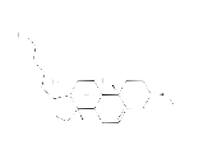 CC(C)CCC[C@@H](C)[C@H]1CC[C@H]2[C@@H]3CC=C4C[C@H](OS(=O)(=O)O)CC[C@@]4(C)[C@@H]3CC[C@]12C